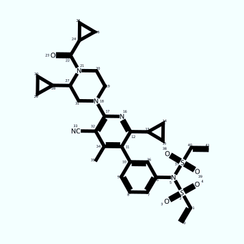 C=CS(=O)(=O)N(c1cccc(-c2c(C3CC3)nc(N3CCN(C(=O)C4CC4)C(C4CC4)C3)c(C#N)c2C)c1)S(=O)(=O)C=C